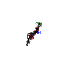 N#Cc1ccc(-c2ccc(CC(NC(=O)[C@@H]3Cc4cc5c(cc4CN3S(=O)(=O)c3ccccc3)O[C@@H](c3ccc(OCc4ccc(Cl)c(Cl)c4)cc3)C(=O)N5)C(=O)O)cc2)cc1